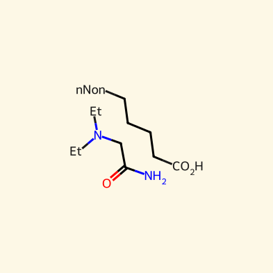 CCCCCCCCCCCCCC(=O)O.CCN(CC)CC(N)=O